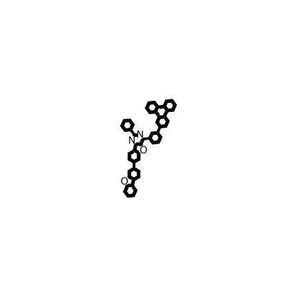 c1ccc(-c2nc(-c3cccc(-c4ccc5c6ccccc6c6ccccc6c5c4)c3)c3oc4cc(-c5ccc6c(c5)oc5ccccc56)ccc4c3n2)cc1